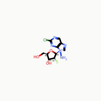 N[N+]1([C@@H]2O[C@H](CO)[C@@H](O)[C@@H]2F)C=Nc2cnc(Cl)nc21